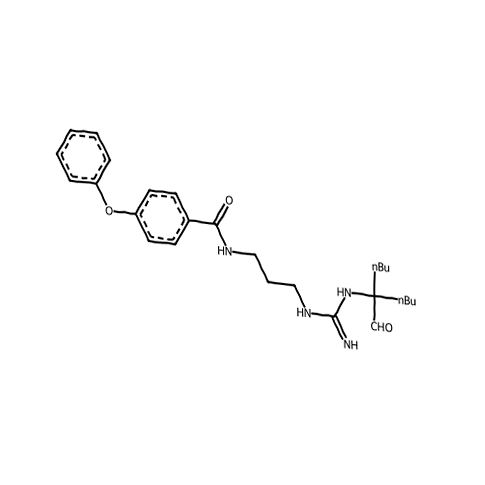 CCCCC(C=O)(CCCC)NC(=N)NCCCNC(=O)c1ccc(Oc2ccccc2)cc1